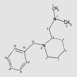 CN(C)CC1CCCCN1Cc1ccccc1